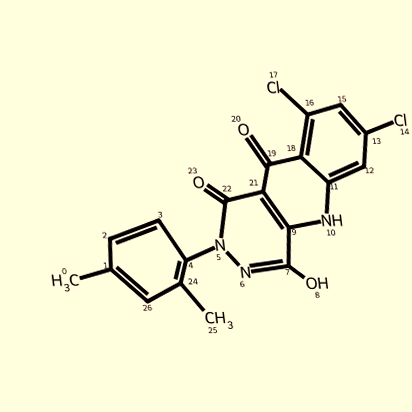 Cc1ccc(-n2nc(O)c3[nH]c4cc(Cl)cc(Cl)c4c(=O)c3c2=O)c(C)c1